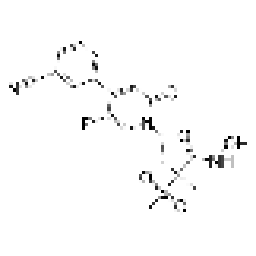 CC(CCn1cc(F)c(-c2cccc(C#N)c2)cc1=O)(C(=O)NO)S(C)(=O)=O